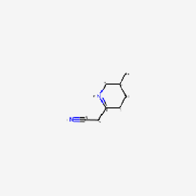 CC1CCC(CC#N)=NC1